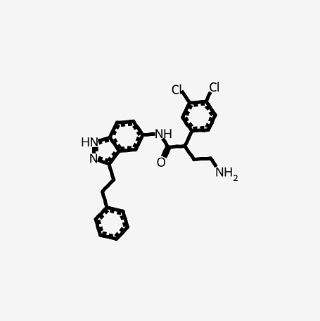 NCCC(C(=O)Nc1ccc2[nH]nc(CCc3ccccc3)c2c1)c1ccc(Cl)c(Cl)c1